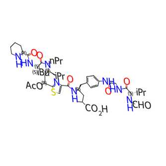 CCCN(C(=O)[C@@H](NC(=O)[C@H]1CCCCN1)[C@@H](C)CC)[C@H](C[C@@H](OC(C)=O)c1nc(C(=O)N[C@@H](Cc2ccc(NC(=O)CNC(=O)[C@@H](NC=O)C(C)C)cc2)CC(C)C(=O)O)cs1)C(C)C